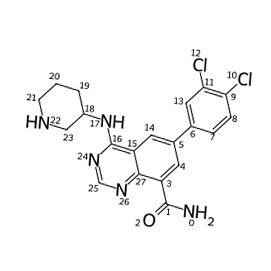 NC(=O)c1cc(-c2ccc(Cl)c(Cl)c2)cc2c(NC3CCCNC3)ncnc12